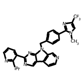 CC(C)c1ncccc1-c1ncc2c3ccncc3n(Cc3ccc(-c4nc(C(F)(F)F)cn4C)cc3)c2n1